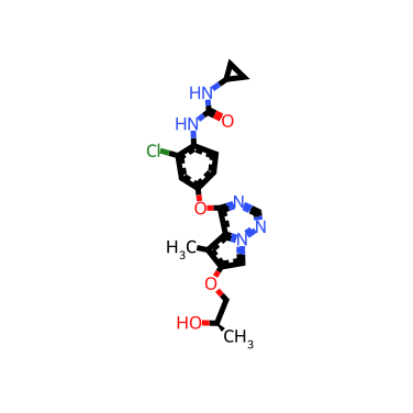 Cc1c(OC[C@@H](C)O)cn2ncnc(Oc3ccc(NC(=O)NC4CC4)c(Cl)c3)c12